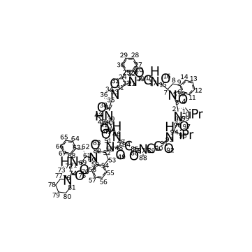 CC(C)C[C@H]1C(=O)N(C)C(Cc2ccccc2)C(=O)NCC(=O)N(C)C(Cc2ccccc2)C(=O)N(C)[C@@H](C)C(=O)N[C@]2(OC2C)C(=O)NC(C(=O)N(C)[C@H]2Cc3ccccc3N([C@@H](Cc3ccccc3)C(=O)N[C@@H](C)C(=O)N3CCCCC3)C2=O)CC(=O)N(C)CCC(=O)NC(C(C)C)C(=O)N1C